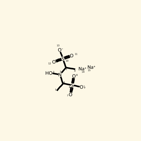 CC(N(O)C(C)S(=O)(=O)[O-])S(=O)(=O)[O-].[Na+].[Na+]